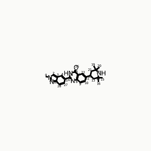 Cn1cc2cc(-c3nc4ccc(C5CC(C)(C)NC(C)(C)C5)cc4c(=O)[nH]3)ccc2n1